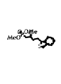 COP(=O)(CC(=O)CCc1scc2ccccc12)OC